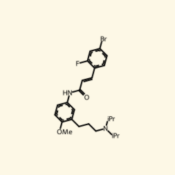 COc1ccc(NC(=O)C=Cc2ccc(Br)cc2F)cc1CCCN(C(C)C)C(C)C